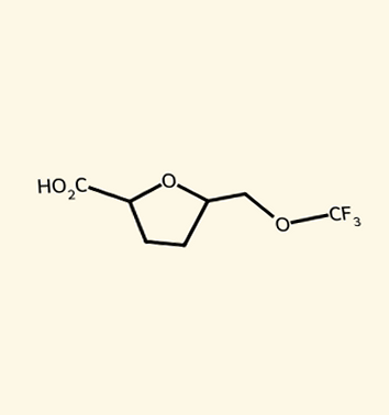 O=C(O)C1CCC(COC(F)(F)F)O1